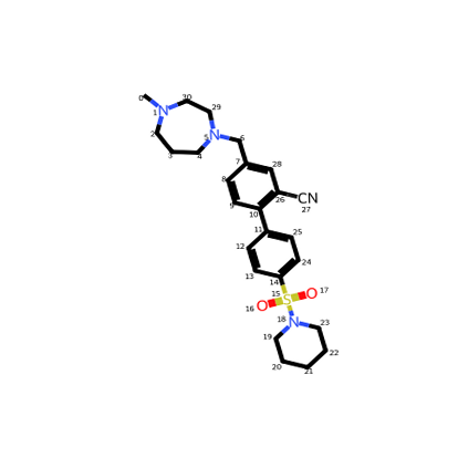 CN1CCCN(Cc2ccc(-c3ccc(S(=O)(=O)N4CCCCC4)cc3)c(C#N)c2)CC1